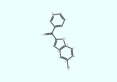 O=C(c1cccnc1)c1cc2cc(Br)ccc2o1